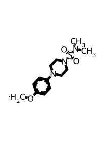 [CH2]Oc1ccc(N2CCN(S(=O)(=O)N(C)C)CC2)cc1